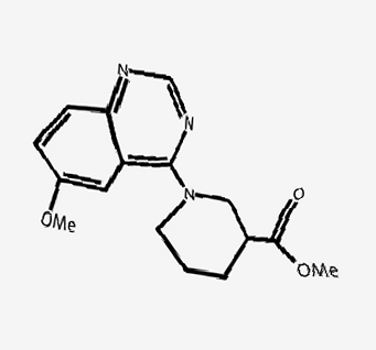 COC(=O)C1CCCN(c2ncnc3ccc(OC)cc23)C1